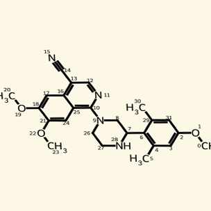 COc1cc(C)c(C2CN(c3ncc(C#N)c4cc(OC)c(OC)cc34)CCN2)c(C)c1